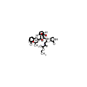 CCOC(=O)/C(F)=C/[C@@H](C[C@@H]1CCNC1=O)NC(=O)[C@H]1[C@@H]2CC[C@@H](CC2(F)F)N1C(=O)[C@@H](CC(C)C)Nc1cccc(Cl)c1